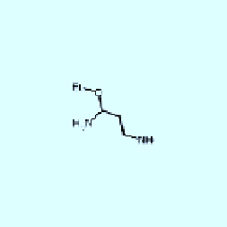 CCOC(N)CC[NH]